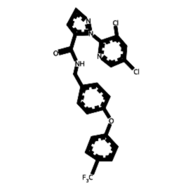 O=C(NCc1ccc(Oc2ccc(C(F)(F)F)cc2)cc1)c1ccnn1-c1ncc(Cl)cc1Cl